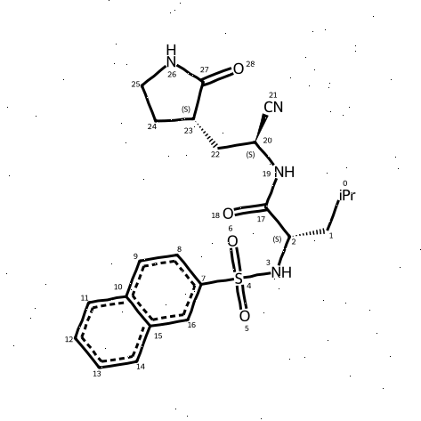 CC(C)C[C@H](NS(=O)(=O)c1ccc2ccccc2c1)C(=O)N[C@H](C#N)C[C@@H]1CCNC1=O